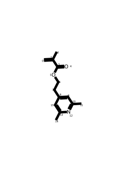 C=C(C)C(=O)OCCc1cc(C)nc(C)c1